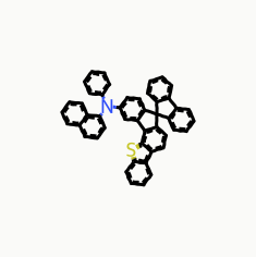 c1ccc(N(c2ccc3c(c2)-c2c(ccc4c2sc2ccccc24)C32c3ccccc3-c3ccccc32)c2cccc3ccccc23)cc1